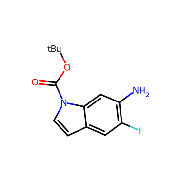 CC(C)(C)OC(=O)n1ccc2cc(F)c(N)cc21